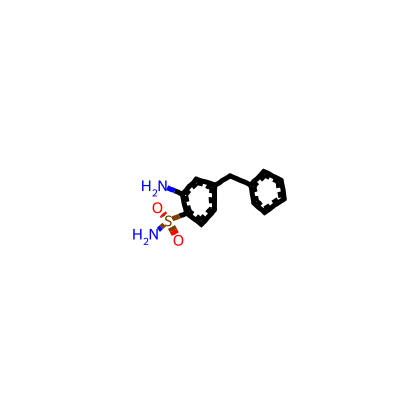 Nc1cc(Cc2ccccc2)ccc1S(N)(=O)=O